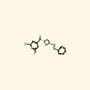 O=C(c1cc(Cl)nc(Cl)c1)[C@H]1C[C@H](OCc2ccccc2)C1